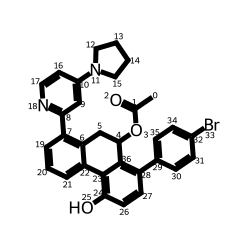 CC(=O)OC1Cc2c(-c3cc(N4CCCC4)ccn3)cccc2-c2c(O)ccc(-c3ccc(Br)cc3)c21